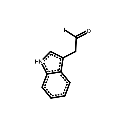 O=C(I)Cc1c[nH]c2ccccc12